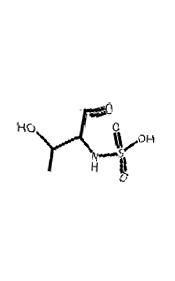 CC(O)C([C]=O)NS(=O)(=O)O